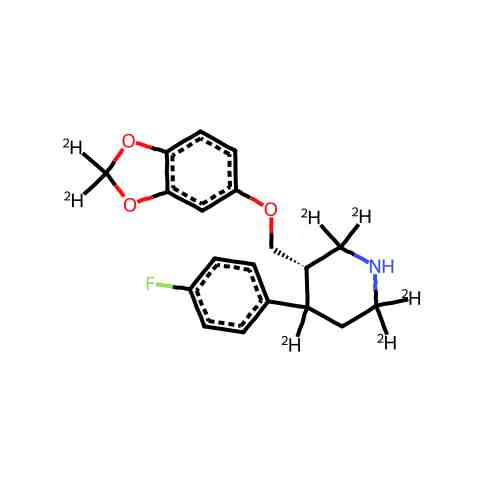 [2H]C1([2H])CC([2H])(c2ccc(F)cc2)[C@H](COc2ccc3c(c2)OC([2H])([2H])O3)C([2H])([2H])N1